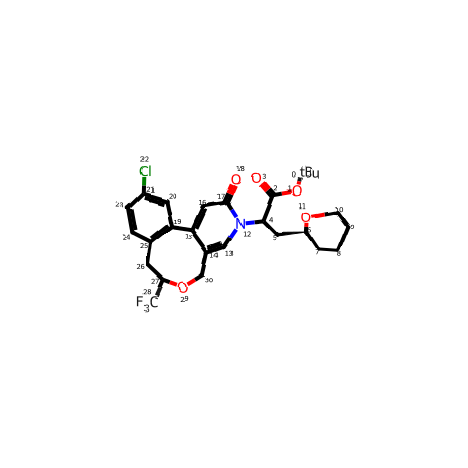 CC(C)(C)OC(=O)C(C[C@@H]1CCCCO1)n1cc2c(cc1=O)-c1cc(Cl)ccc1CC(C(F)(F)F)OC2